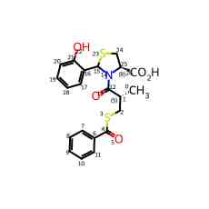 C[C@H](CSC(=O)c1ccccc1)C(=O)N1C(c2ccccc2O)SC[C@H]1C(=O)O